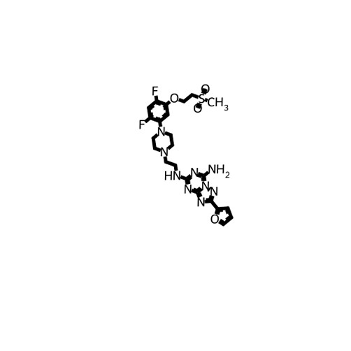 CS(=O)(=O)CCOc1cc(N2CCN(CCNc3nc(N)n4nc(-c5ccco5)nc4n3)CC2)c(F)cc1F